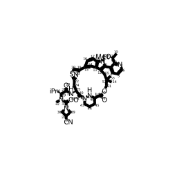 CCn1c(-c2cccnc2[C@H](C)OC)c2c3cc(ccc31)-c1csc(n1)C[C@H](NC(=O)[C@H](C(C)C)N(C)C(=O)N1CC(C#N)C1)C(=O)N1CCC[C@H](N1)C(=O)OCC(C)(C)C2